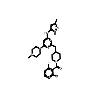 Cc1cc(Nc2cc(N3CCN(C)CC3)nc(CC3CCN(C(=O)c4c(F)ccnc4F)CC3)n2)[nH]n1